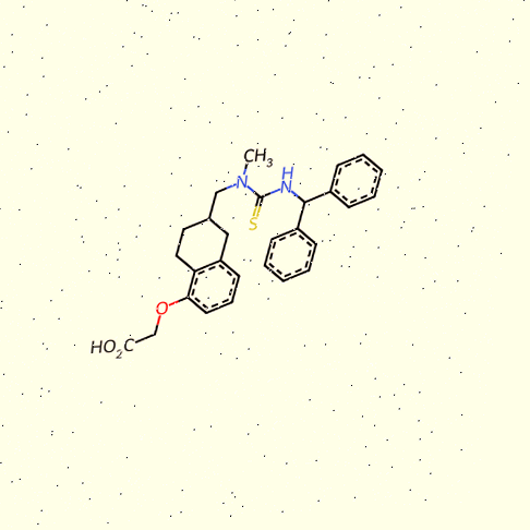 CN(CC1CCc2c(cccc2OCC(=O)O)C1)C(=S)NC(c1ccccc1)c1ccccc1